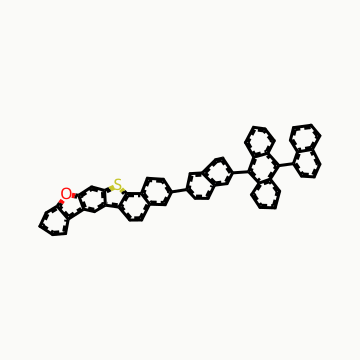 c1ccc2c(-c3c4ccccc4c(-c4ccc5cc(-c6ccc7c(ccc8c9cc%10c(cc9sc78)oc7ccccc7%10)c6)ccc5c4)c4ccccc34)cccc2c1